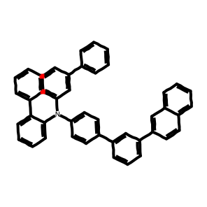 c1ccc(-c2cccc(N(c3ccc(-c4cccc(-c5ccc6ccccc6c5)c4)cc3)c3ccccc3-c3ccccc3)c2)cc1